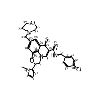 Cn1ccnc1C1Cn2cc(C(=O)NCc3ccc(Cl)cc3)c(=S)c3cc(CN4CCOCC4)cc(c32)O1